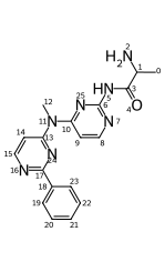 CC(N)C(=O)Nc1nccc(N(C)c2ccnc(-c3ccccc3)n2)n1